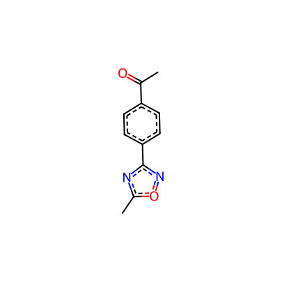 CC(=O)c1ccc(-c2noc(C)n2)cc1